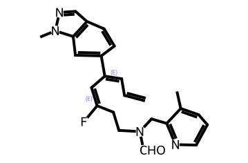 C=C/C=C(\C=C(\F)CCN(C=O)Cc1ncccc1C)c1ccc2cnn(C)c2c1